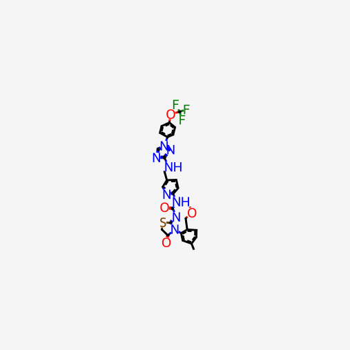 COCc1ccc(C)cc1N1C(=O)CS/C1=N\C(=O)Nc1ccc(CNc2ncn(-c3ccc(OC(F)(F)F)cc3)n2)cn1